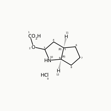 Cl.O=C(O)OC1C[C@H]2CCC[C@H]2N1